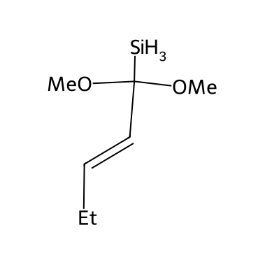 CC/C=C/C([SiH3])(OC)OC